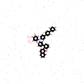 Bc1c(B)c(B)c(N(c2ccc(-c3ccc(-c4ccccc4)cc3)cc2)c2cccc(-c3cccc4oc5c6ccccc6ccc5c34)c2)c(B)c1B